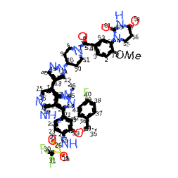 COc1ccc(C(=O)N2CCC(n3cc(-c4cnc(N)c5c(-c6ccc(NS(=O)(=O)C(F)F)c(O[C@@H](C)c7ccc(F)cc7)c6)nn(C)c45)cn3)CC2)cc1N1CCC(=O)NC1=O